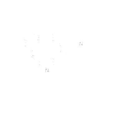 CCCC(C)C(CC#N)c1cncc(Sc2ccccc2)c1